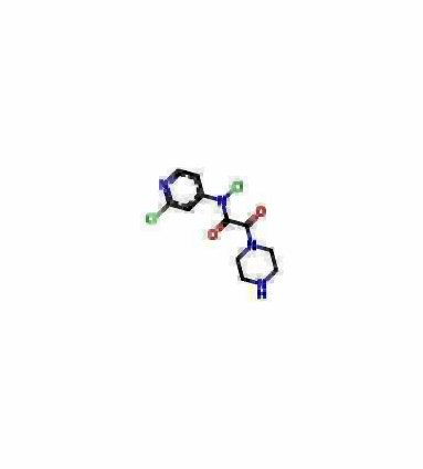 O=C(C(=O)N(Cl)c1ccnc(Cl)c1)N1CCNCC1